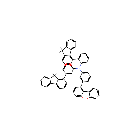 CC1(C)c2ccccc2-c2c(-c3ccccc3N(c3cccc(-c4cccc5c4C(C)(C)c4ccccc4-5)c3)c3cccc(-c4cccc5oc6ccccc6c45)c3)cccc21